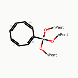 CCCCCO[Si](OCCCCC)(OCCCCC)C1=C/C=C\C=C/C=C\1